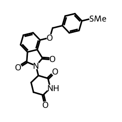 CSc1ccc(COc2cccc3c2C(=O)N(C2CCC(=O)NC2=O)C3=O)cc1